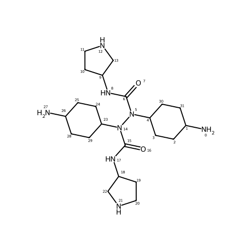 NC1CCC(N(C(=O)NC2CCNC2)N(C(=O)NC2CCNC2)C2CCC(N)CC2)CC1